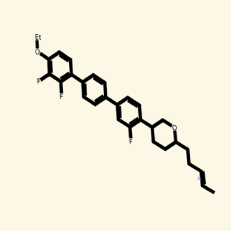 C/C=C/CCC1CCC(c2ccc(-c3ccc(-c4ccc(OCC)c(F)c4F)cc3)cc2F)CO1